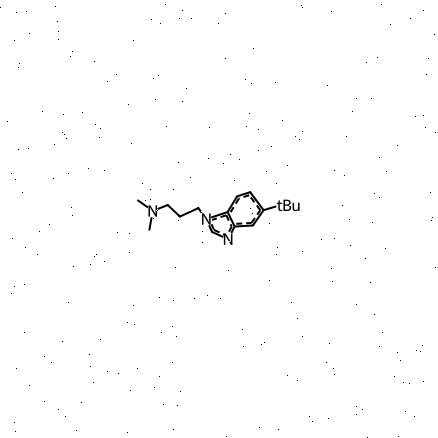 CN(C)CCCn1cnc2cc(C(C)(C)C)ccc21